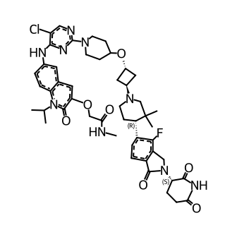 CNC(=O)COc1cc2cc(Nc3nc(N4CCC(O[C@H]5C[C@H](N6CC[C@@H](c7ccc8c(c7F)CN([C@H]7CCC(=O)NC7=O)C8=O)C(C)(C)C6)C5)CC4)ncc3Cl)ccc2n(C(C)C)c1=O